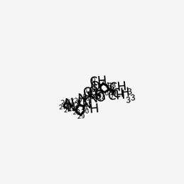 COc1ccc(C(C)(C)C)cc1S(=O)(=O)NC(=O)c1ncc2c(-n3cccn3)cccc2n1